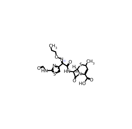 CCCO/N=C(/C(=O)NC1C(=O)N2C(C(=O)O)=CC(C)S[C@H]12)c1csc(NC=O)n1